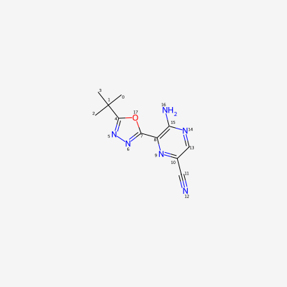 CC(C)(C)c1nnc(-c2nc(C#N)cnc2N)o1